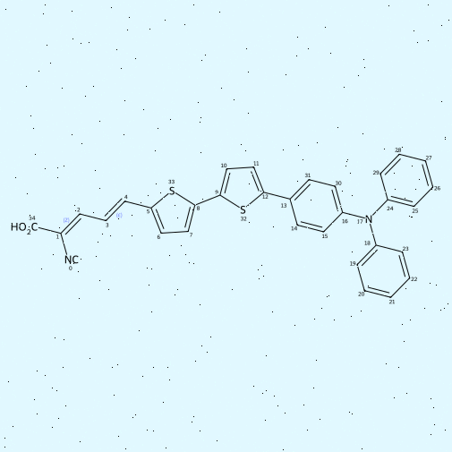 [C-]#[N+]/C(=C\C=C\c1ccc(-c2ccc(-c3ccc(N(c4ccccc4)c4ccccc4)cc3)s2)s1)C(=O)O